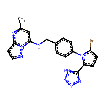 Cc1cc(NCc2ccc(-n3c(Br)ccc3-c3nnn[nH]3)cc2)n2nccc2n1